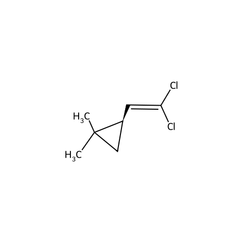 CC1(C)C[C@@H]1C=C(Cl)Cl